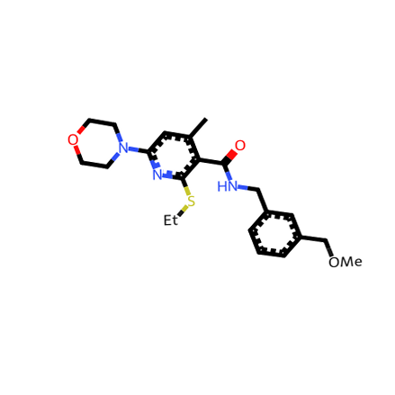 CCSc1nc(N2CCOCC2)cc(C)c1C(=O)NCc1cccc(COC)c1